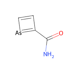 NC(=O)C1=[As]C=C1